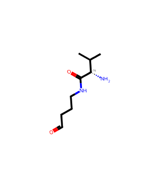 CC(C)[C@H](N)C(=O)NCCCC=O